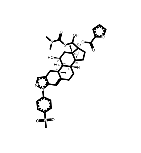 CN(C)C(=O)SC(O)[C@@]1(OC(=O)c2ccco2)CC[C@H]2[C@@H]3CCC4=Cc5c(cnn5-c5ccc(S(C)(=O)=O)cc5)C[C@]4(C)[C@H]3[C@@H](O)C[C@@]21C